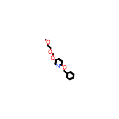 COCCOCOc1ccc(OCc2ccccc2)nc1